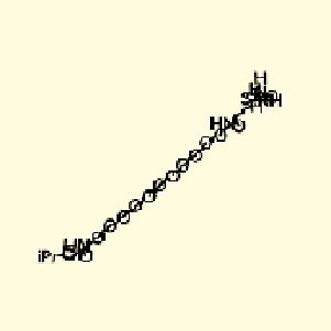 CC(C)c1ccc(C(=O)NCCOCCOCCOCCOCCOCCOCCOCCOCCOCCOCCOCCNC(=O)CCCC[C@@H]2SC[C@@H]3NC(=O)N[C@@H]32)cc1